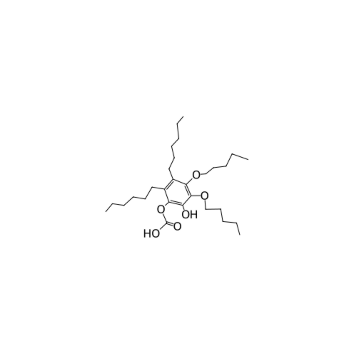 CCCCCCc1c(CCCCCC)c(OCCCCC)c(OCCCCC)c(O)c1OC(=O)O